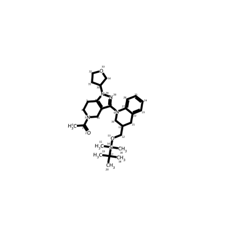 CC(=O)N1CCc2c(c(N3CC(CO[Si](C)(C)C(C)(C)C)Cc4ccccc43)nn2C2CCOC2)C1